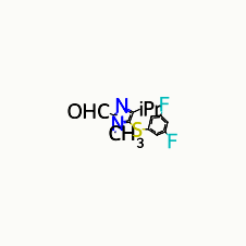 CC(C)c1nc(C=O)n(C)c1Sc1cc(F)cc(F)c1